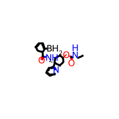 BC1=CC=CCC1C(=O)NC[C@]1(c2ccccn2)CC[C@@H](OC(=O)NCC)CC1